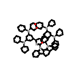 c1ccc(N(c2ccccc2)c2cc(-c3cc(-c4cc(N(c5ccccc5)c5ccccc5)cc(N(c5ccccc5)c5ccccc5)c4)nc(-n4c5ccccc5c5ccc6c7ccccc7n(-c7ccccc7)c6c54)n3)cc(N(c3ccccc3)c3ccccc3)c2)cc1